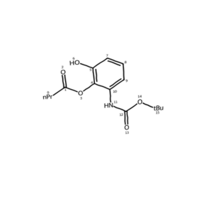 CCCC(=O)Oc1c(O)cccc1NC(=O)OC(C)(C)C